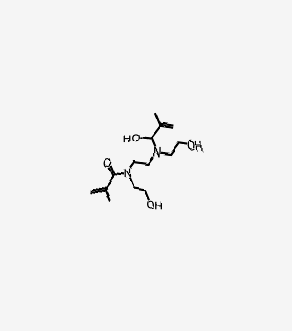 C=C(C)C(=O)N(CCO)CCN(CCO)C(O)C(=C)C